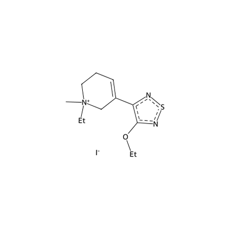 CCOc1nsnc1C1=CCC[N+](C)(CC)C1.[I-]